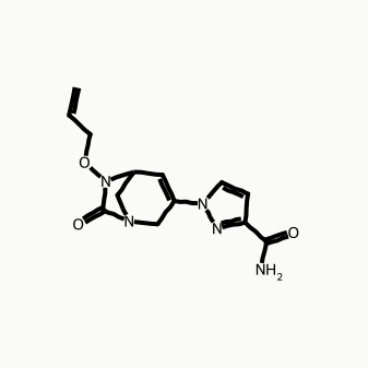 C=CCON1C(=O)N2CC(n3ccc(C(N)=O)n3)=CC1C2